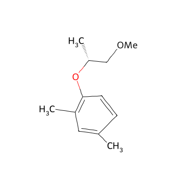 COC[C@@H](C)Oc1ccc(C)cc1C